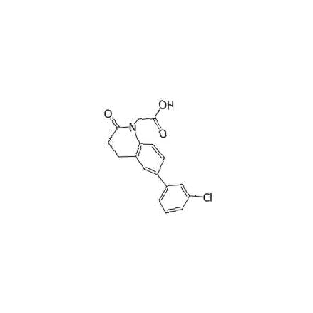 O=C(O)CN1C(=O)CCc2cc(-c3cccc(Cl)c3)ccc21